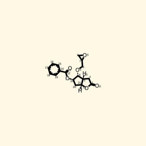 O=C1C[C@H]2[C@@H](OCC3CO3)[C@H](OC(=O)c3ccccc3)C[C@H]2O1